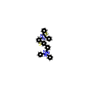 c1ccc(-c2nc(-c3ccccc3)nc(-c3cccc(-c4ccc5c(c4)sc4cccc(-c6nc(-c7ccccc7)c7sc8ccccc8c7n6)c45)c3)n2)cc1